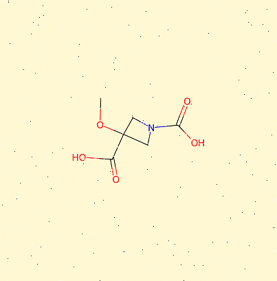 COC1(C(=O)O)CN(C(=O)O)C1